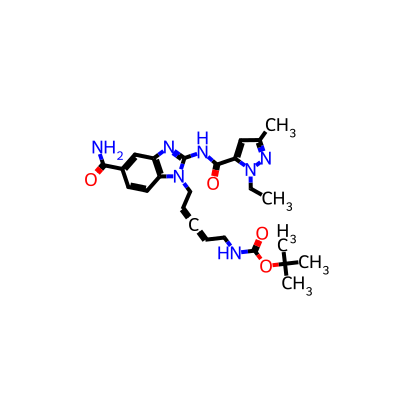 CCn1nc(C)cc1C(=O)Nc1nc2cc(C(N)=O)ccc2n1CC=C=CCNC(=O)OC(C)(C)C